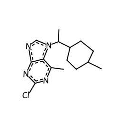 Cc1nc(Cl)nc2ncn(C(C)C3CCC(C)CC3)c12